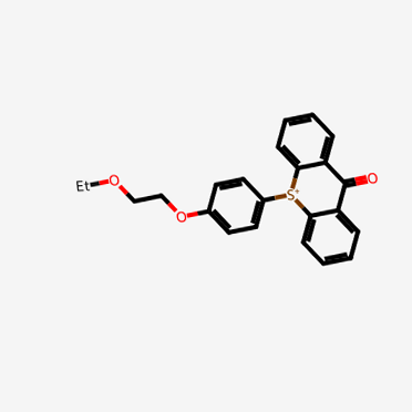 CCOCCOc1ccc(-[s+]2c3ccccc3c(=O)c3ccccc32)cc1